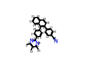 Cc1nc(-c2ccc(-c3c(-c4ccc(C#N)cc4)ccc4ccccc34)cc2)nc(C)c1C